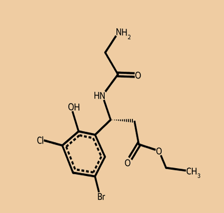 CCOC(=O)C[C@@H](NC(=O)CN)c1cc(Br)cc(Cl)c1O